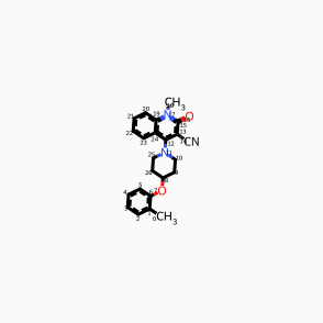 Cc1ccccc1OC1CCN(c2c(C#N)c(=O)n(C)c3ccccc23)CC1